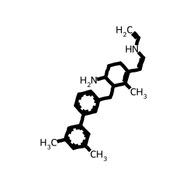 C=CN/C=C\C1=C(C)C(Cc2cccc(-c3cc(C)cc(C)c3)c2)C(N)CC1